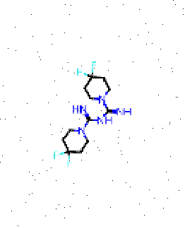 N=C(NC(=N)N1CCC(F)(F)CC1)N1CCC(F)(F)CC1